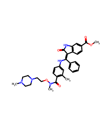 COC(=O)c1ccc2c(c1)NC(=O)/C2=C(\Nc1ccc(C(=O)N(C)OCCN2CCN(C)CC2)c(C)c1)c1ccccc1